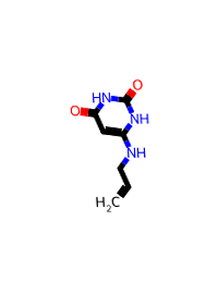 C=CCNc1cc(=O)[nH]c(=O)[nH]1